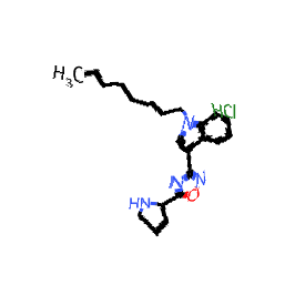 CCCCCCCCn1cc(-c2noc(C3CCCN3)n2)c2ccccc21.Cl